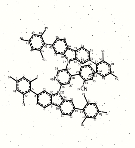 Cc1cc(C)c(-c2ccc3c4ccc(-c5c(C)cc(C)cc5C)cc4n(-c4cc(-c5ccccc5C#N)c(-n5c6cc(-c7c(C)cc(C)cc7C)ccc6c6ccc(-c7c(C)cc(C)cc7C)cc65)cn4)c3c2)c(C)c1